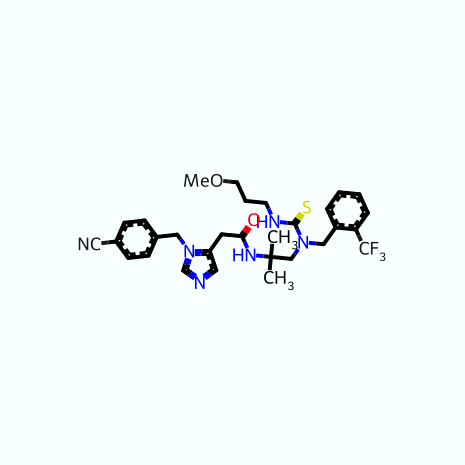 COCCCNC(=S)N(Cc1ccccc1C(F)(F)F)CC(C)(C)NC(=O)Cc1cncn1Cc1ccc(C#N)cc1